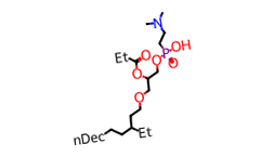 CCCCCCCCCCCCC(CC)CCOCC(COP(=O)(O)CCN(C)C)OC(=O)CC